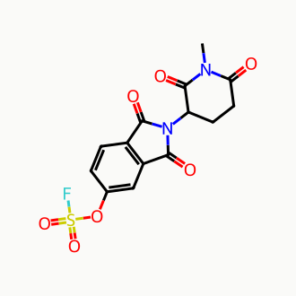 CN1C(=O)CCC(N2C(=O)c3ccc(OS(=O)(=O)F)cc3C2=O)C1=O